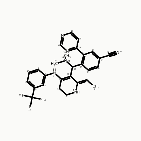 CC=C1NCCC(Nc2cccc(C(F)(F)F)c2)=C1C(c1ccc(C#N)cc1-c1ccncn1)N(C)C